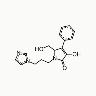 O=C1C(O)=C(c2ccccc2)C(CO)N1CCCn1ccnc1